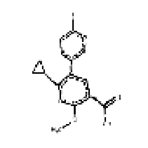 COc1nc(C2CC2)c(-c2ccc(F)cc2)cc1C(=O)O